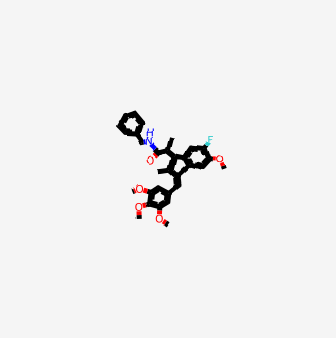 COc1cc2c(cc1F)C(C(C)C(=O)NCc1ccccc1)=C(C)C2=Cc1cc(OC)c(OC)c(OC)c1